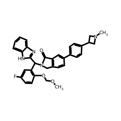 COCOc1ccc(F)cc1C(c1nc2ccccc2[nH]1)N1Cc2ccc(-c3ccc(C4CN(C)C4)cc3)cc2C1=O